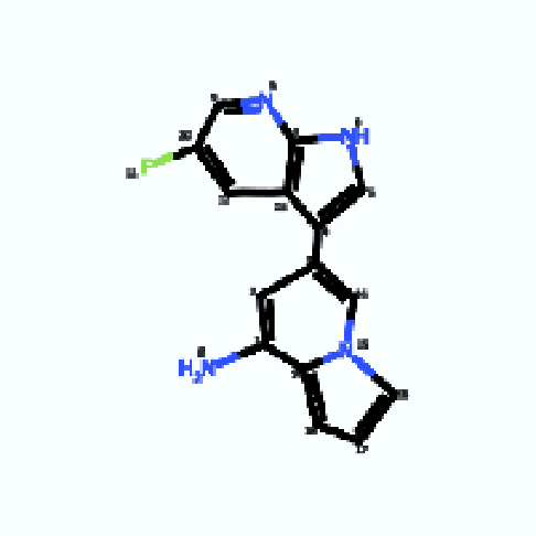 Nc1cc(-c2c[nH]c3ncc(F)cc23)cn2cccc12